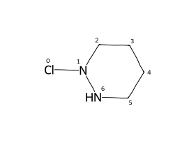 ClN1CCCCN1